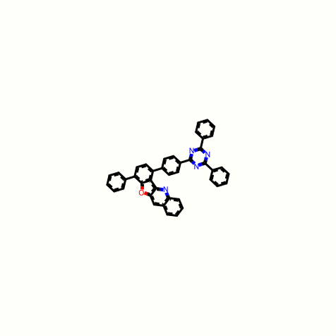 c1ccc(-c2nc(-c3ccccc3)nc(-c3ccc(-c4ccc(-c5ccccc5)c5oc6cc7ccccc7nc6c45)cc3)n2)cc1